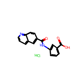 Cl.O=C(O)c1cccc(NC(=O)c2ccc3ncccc3c2)c1